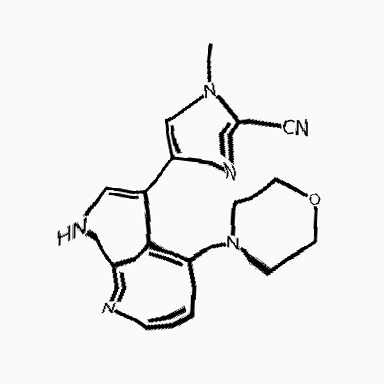 Cn1cc(-c2c[nH]c3nccc(N4CCOCC4)c23)nc1C#N